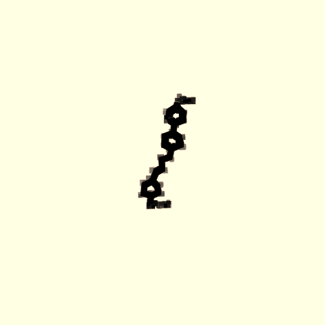 CCCCCCCCCCc1ccc(-c2ccc(CCC=CC3CCC(CCCCC)CC3)cc2)nc1